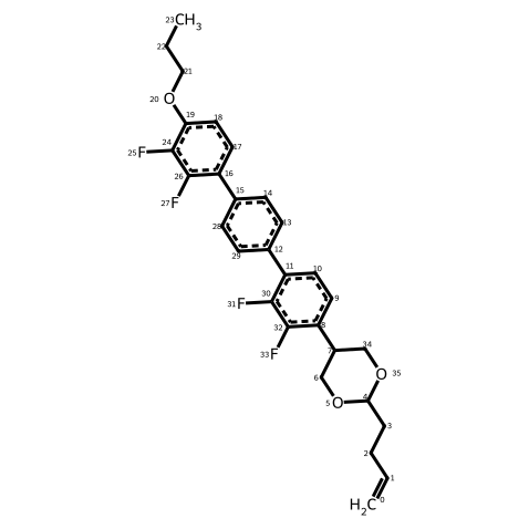 C=CCCC1OCC(c2ccc(-c3ccc(-c4ccc(OCCC)c(F)c4F)cc3)c(F)c2F)CO1